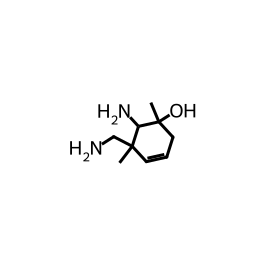 CC1(O)CC=CC(C)(CN)C1N